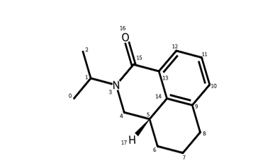 CC(C)N1C[C@H]2CCCc3cccc(c32)C1=O